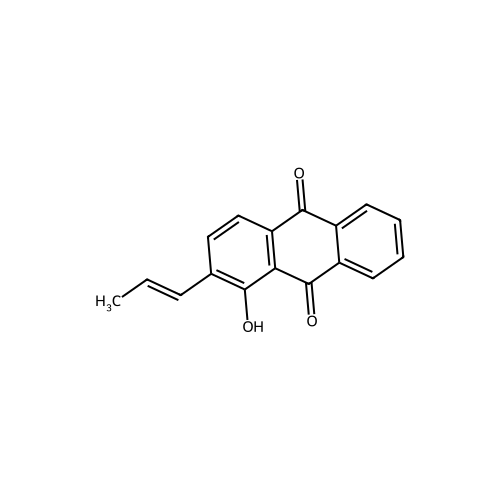 CC=Cc1ccc2c(c1O)C(=O)c1ccccc1C2=O